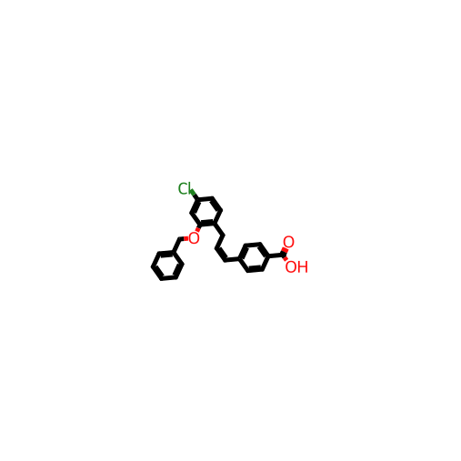 O=C(O)c1ccc(/C=C\Cc2ccc(Cl)cc2OCc2ccccc2)cc1